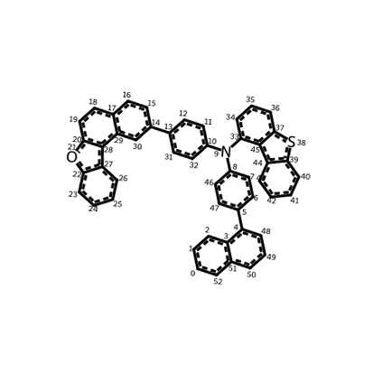 c1ccc2c(-c3ccc(N(c4ccc(-c5ccc6ccc7oc8ccccc8c7c6c5)cc4)c4cccc5sc6ccccc6c45)cc3)cccc2c1